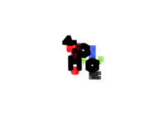 [C-]#[N+]c1ccc(Nc2ccnc(OC3C4COCC3CN(C(=O)OC3(C)CC3)C4)c2F)c(F)c1